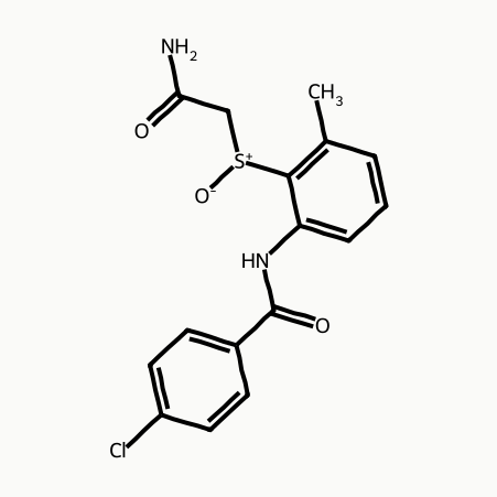 Cc1cccc(NC(=O)c2ccc(Cl)cc2)c1[S+]([O-])CC(N)=O